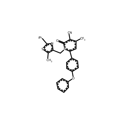 Cc1sc(C(C)C)nc1Cn1c(-c2ccc(Oc3ccccc3)cc2)cc(C(F)(F)F)c(C#N)c1=O